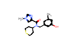 Cc1cc(O)cc(CN(C(=O)c2cn(C)cn2)C2CCSCC2)c1